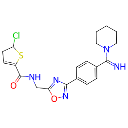 N=C(c1ccc(-c2noc(CNC(=O)C3=CCC(Cl)S3)n2)cc1)N1CCCCC1